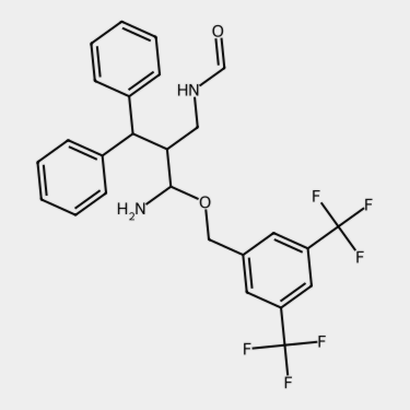 NC(OCc1cc(C(F)(F)F)cc(C(F)(F)F)c1)C(CNC=O)C(c1ccccc1)c1ccccc1